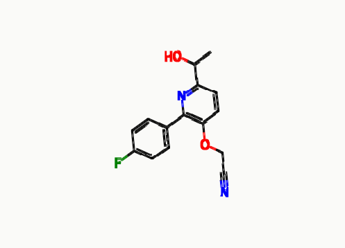 CC(O)c1ccc(OCC#N)c(-c2ccc(F)cc2)n1